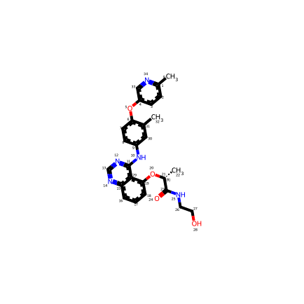 Cc1ccc(Oc2ccc(Nc3ncnc4cccc(O[C@H](C)C(=O)NCCO)c34)cc2C)cn1